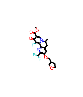 COC(=O)c1cn2c(c(F)c1=O)-c1nc(C(F)F)c(OCC3CCOC3)cc1CC2C